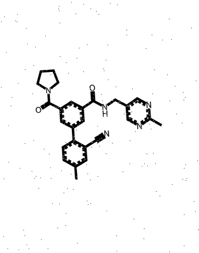 Cc1ccc(-c2cc(C(=O)NCc3cnc(C)nc3)cc(C(=O)N3CCCC3)c2)c(C#N)c1